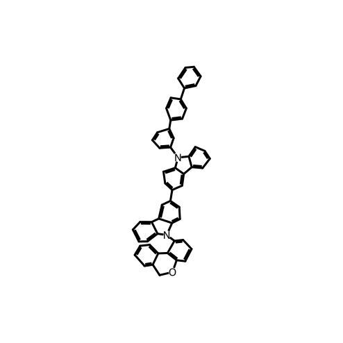 c1ccc(-c2ccc(-c3cccc(-n4c5ccccc5c5cc(-c6ccc7c(c6)c6ccccc6n7-c6cccc7c6-c6ccccc6CO7)ccc54)c3)cc2)cc1